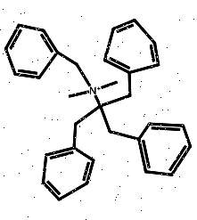 C[N+](C)(Cc1ccccc1)C(Cc1ccccc1)(Cc1ccccc1)Cc1ccccc1